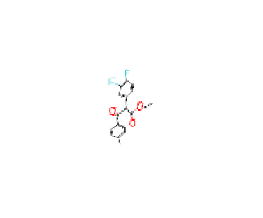 CCOC(=O)C(C(=O)c1ccc(C)cc1)c1ccc(F)c(F)c1